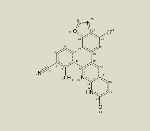 Cc1c(C#N)cccc1-c1nc2[nH]c(=O)ccc2cc1-c1cc(Cl)c2ncoc2c1